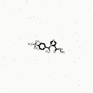 CCCNC(=O)c1cncn1C(C)c1cc[c]([Sn]([CH3])([CH3])[CH3])cc1